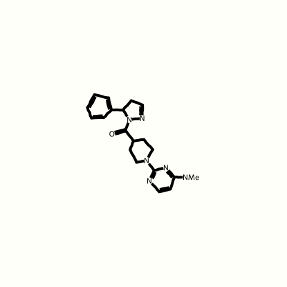 CNc1ccnc(N2CCC(C(=O)N3N=CCC3c3ccccc3)CC2)n1